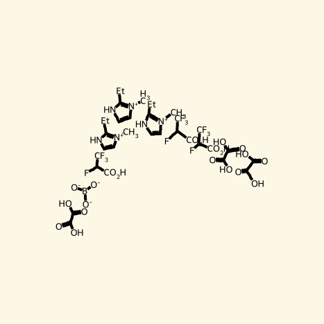 CCc1[nH]cc[n+]1C.CCc1[nH]cc[n+]1C.CCc1[nH]cc[n+]1C.O=C(O)C(=O)O.O=C(O)C(=O)O.O=C(O)C(=O)O.O=C(O)C(F)C(F)(F)F.O=C(O)C(F)C(F)(F)F.O=C(O)C(F)C(F)(F)F.[O-]B([O-])[O-]